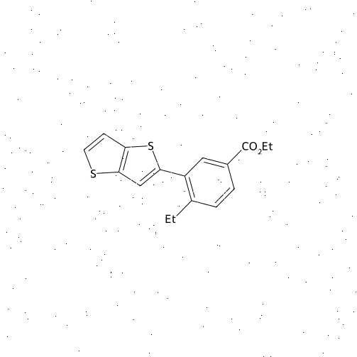 CCOC(=O)c1ccc(CC)c(-c2cc3sccc3s2)c1